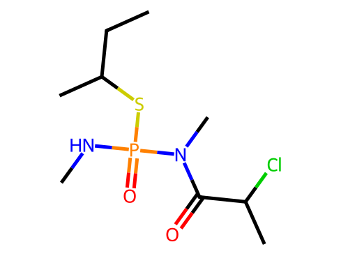 CCC(C)SP(=O)(NC)N(C)C(=O)C(C)Cl